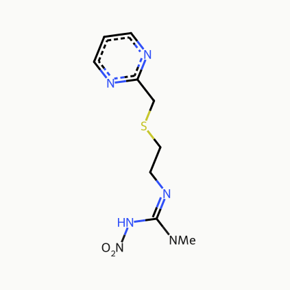 CNC(=NCCSCc1ncccn1)N[N+](=O)[O-]